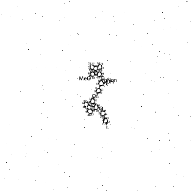 CCCCCCCCCC(C)(O)c1cc(-c2ccc(COc3ccc(C4(c5ccc(Oc6ccc(-c7ccc(C)cc7)cc6)cc5)c5ccccc5-c5ccccc54)cc3)cc2)ccc1Oc1ccc(C2(c3ccc(OC)cc3)c3ccccc3-c3ccccc32)cc1